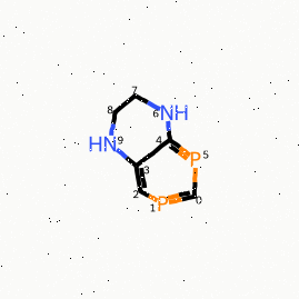 c1pcc2c(p1)NCCN2